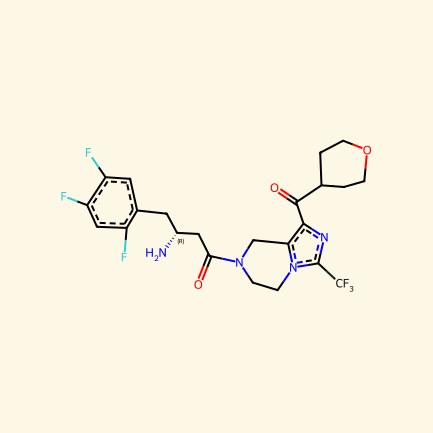 N[C@@H](CC(=O)N1CCn2c(C(F)(F)F)nc(C(=O)C3CCOCC3)c2C1)Cc1cc(F)c(F)cc1F